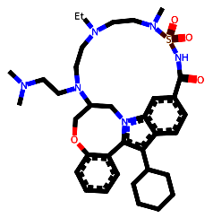 CCN1CCN(CCN(C)C)C2COc3ccccc3-c3c(C4CCCCC4)c4ccc(cc4n3C2)C(=O)NS(=O)(=O)N(C)CC1